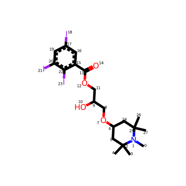 CN1C(C)(C)CC(OCC(O)COC(=O)c2cc(I)cc(I)c2I)CC1(C)C